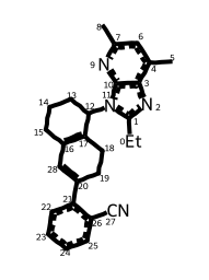 CCc1nc2c(C)cc(C)nc2n1C1CCCC2=C1CCC(c1ccccc1C#N)=C2